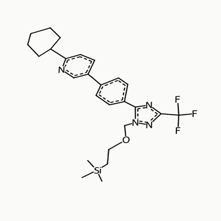 C[Si](C)(C)CCOCn1nc(C(F)(F)F)nc1-c1ccc(-c2ccc(C3CCCCC3)nc2)cc1